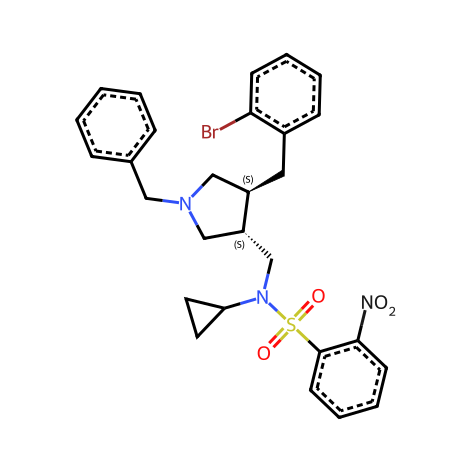 O=[N+]([O-])c1ccccc1S(=O)(=O)N(C[C@@H]1CN(Cc2ccccc2)C[C@H]1Cc1ccccc1Br)C1CC1